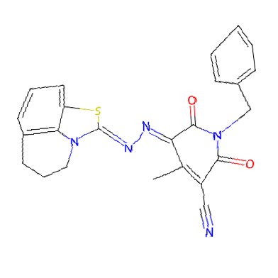 CC1=C(C#N)C(=O)N(Cc2ccccc2)C(=O)/C1=N/N=c1\sc2cccc3c2n1CCC3